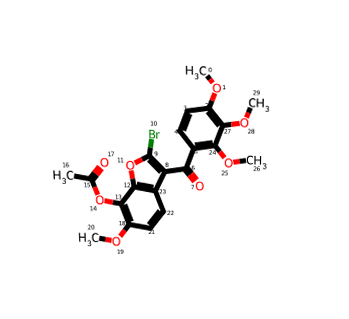 COc1ccc(C(=O)c2c(Br)oc3c(OC(C)=O)c(OC)ccc23)c(OC)c1OC